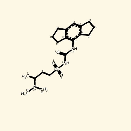 CC(CCS(=O)(=O)NC(=O)Nc1c2c(cc3c1CCC3)CCC2)N(C)C